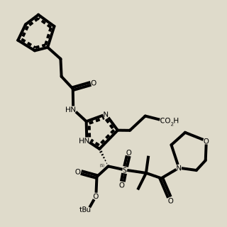 CC(C)(C)OC(=O)[C@H](c1[nH]c(NC(=O)CCc2ccccc2)nc1CCC(=O)O)S(=O)(=O)C(C)(C)C(=O)N1CCOCC1